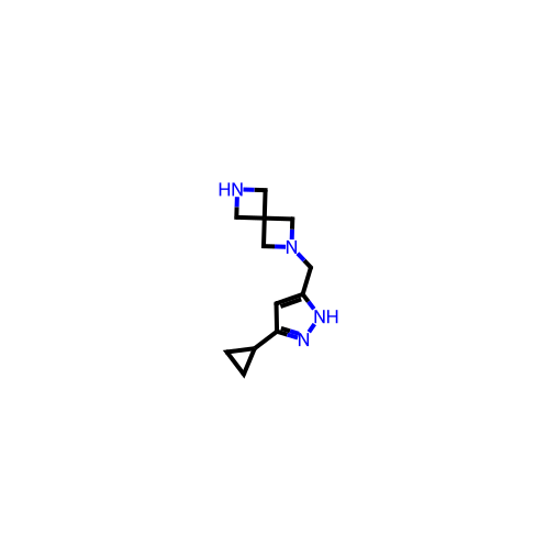 c1c(C2CC2)n[nH]c1CN1CC2(CNC2)C1